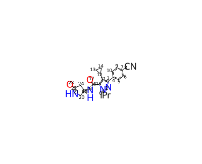 CC(C)n1nc(-c2ccc(C#N)cc2)c(C2CC2)c1C(=O)N[C@H]1CNC(=O)C1